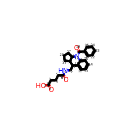 O=C(O)CCCC(=O)NCC1c2ccccc2N(C(=O)c2ccccc2)C2CCCC12